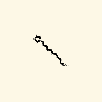 O=C(O)CCCCCCCCCC[n+]1cc[nH]c1